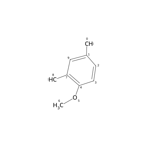 [CH]c1ccc(OC)c([CH])c1